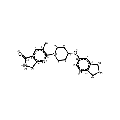 Cc1cc2c(nc1N1CCC(Oc3cnc4c(c3)CCC4)CC1)CNC2=O